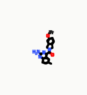 Cc1ccc2nc(N)nc(C(=O)N3Cc4ccc(OC(C)C)cc4C3)c2c1